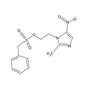 Cc1ncc([N+](=O)[O-])n1CCOS(=O)(=O)Cc1ccccc1